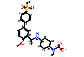 COc1ccc(-c2ccc(S(C)(=O)=O)cc2)cc1C(C)NC1CCC(N(C)C(=O)O)CC1